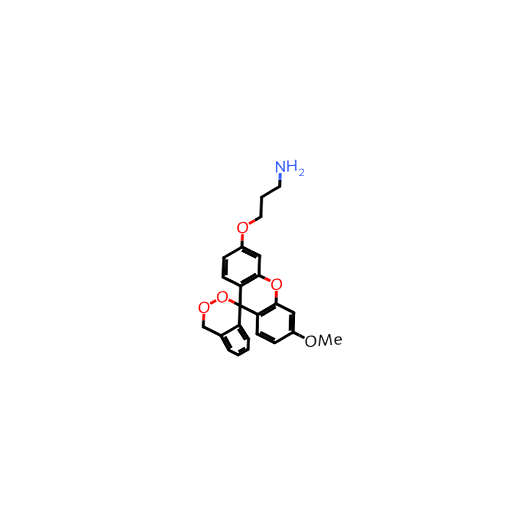 COc1ccc2c(c1)Oc1cc(OCCCN)ccc1C21OOCc2ccccc21